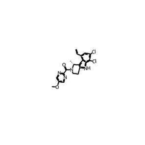 C=Cc1cc(Cl)c(Cl)c2[nH]c3c(c12)[C@@H](C)N(C(=O)c1ncc(OC)cn1)CC3